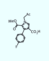 COC(=O)c1c(-c2ccc(F)cc2)c(C(=O)O)cn1CC(C)=O